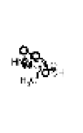 CCCCC(O)N(Cc1ccc(-c2ccccc2-c2nnn[nH]2)cc1)CC1(C(=O)O)CCCC1